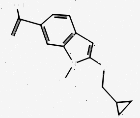 O=C(O)c1ccc2cc(OCC3CC3)n(Cl)c2c1